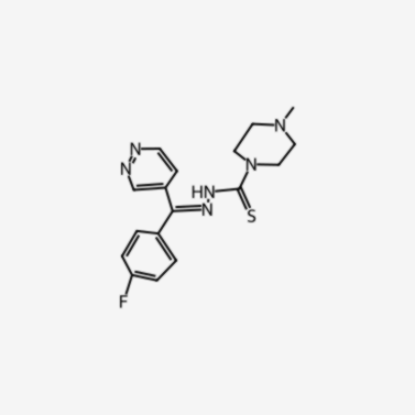 CN1CCN(C(=S)N/N=C(/c2ccc(F)cc2)c2ccnnc2)CC1